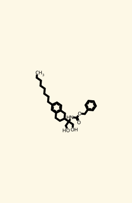 CCCCCCCCc1ccc2c(c1)CCC(C(CO)(CO)NC(=O)OCc1ccccc1)C2